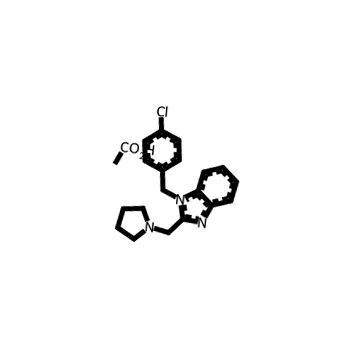 CC(=O)O.Clc1ccc(Cn2c(CN3CCCC3)nc3ccccc32)cc1